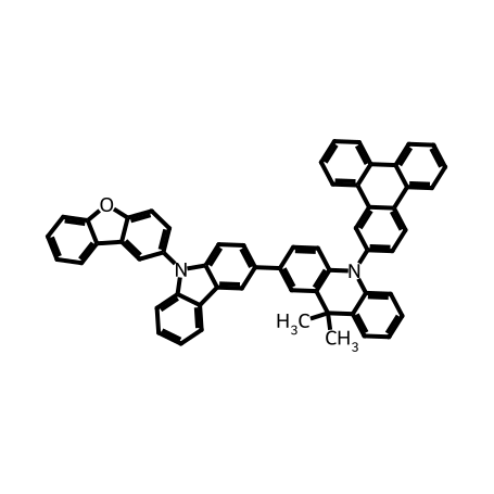 CC1(C)c2ccccc2N(c2ccc3c4ccccc4c4ccccc4c3c2)c2ccc(-c3ccc4c(c3)c3ccccc3n4-c3ccc4oc5ccccc5c4c3)cc21